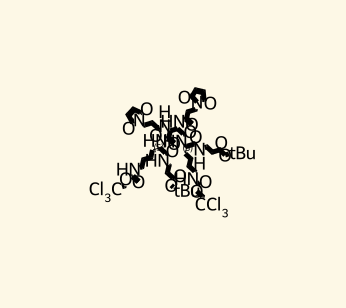 CC(C)(C)OC(=O)CCNC(=O)[C@H](CCCCNC(=O)OCC(Cl)(Cl)Cl)NC(=O)C(NC(=O)CCN1C(=O)C=CC1=O)C(NC(=O)CCN1C(=O)C=CC1=O)C(=O)N[C@@H](CCCCNC(=O)OCC(Cl)(Cl)Cl)C(=O)NCCC(=O)OC(C)(C)C